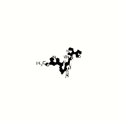 COc1cncc(-c2ccc3[nH]nc(-c4nc5c(-c6ccsc6)ccnc5[nH]4)c3n2)c1